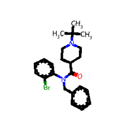 CC(C)(C)N1CCC(C(=O)N(Cc2ccccc2)c2ccccc2Br)CC1